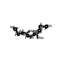 COCCn1c(Cc2c(F)cc(-c3ccc(F)c(OCc4ccc(C#N)cc4F)n3)c(F)c2F)nc2c(F)cc(C(=O)OC(=O)c3cc(F)c4nc(Cc5c(F)cc(-c6ccc(F)c(OCc7ccc(C#N)cc7F)n6)c(F)c5F)n(CCOC)c4c3)cc21